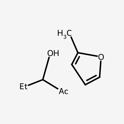 CCC(O)C(C)=O.Cc1ccco1